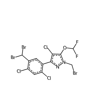 FC(F)Oc1c(Cl)c(-c2cc(C(Br)Br)c(Cl)cc2Cl)nn1CBr